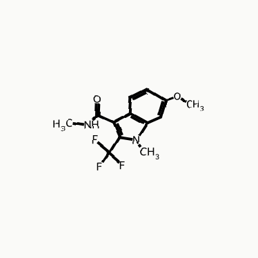 CNC(=O)c1c(C(F)(F)F)n(C)c2cc(OC)ccc12